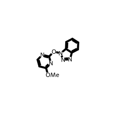 COc1ccnc(On2nnc3ccccc32)n1